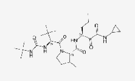 CCC[C@H](NC(=O)[C@@H]1C(C)CCN1C(=O)[C@@H](NC(=O)NC(C)(C)C)C(C)(C)C)C(=O)C(=O)NC1CC1